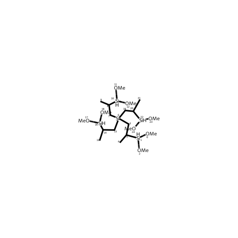 CO[SiH](OC)C(C)C[Si](CC(C)[SiH](OC)OC)(CC(C)[SiH](OC)OC)CC(C)[SiH](OC)OC